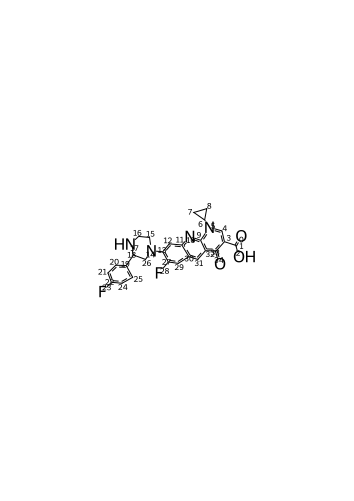 O=C(O)c1cn(C2CC2)c2nc3cc(N4CCNC(c5ccc(F)cc5)C4)c(F)cc3cc2c1=O